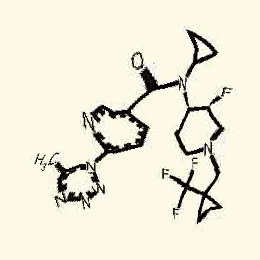 Cc1nnnn1-c1ccc(C(=O)N(C2CC2)[C@@H]2CCN(CC3(C(F)(F)F)CC3)C[C@@H]2F)cn1